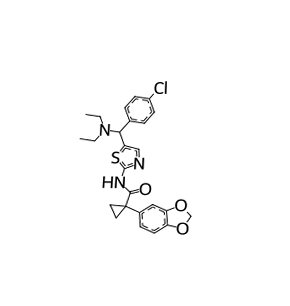 CCN(CC)C(c1ccc(Cl)cc1)c1cnc(NC(=O)C2(c3ccc4c(c3)OCO4)CC2)s1